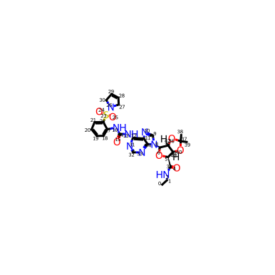 CCNC(=O)[C@H]1O[C@@H](n2cnc3c(NC(=O)Nc4ccccc4S(=O)(=O)N4CC=CC4)ncnc32)[C@@H]2OC(C)(C)O[C@@H]21